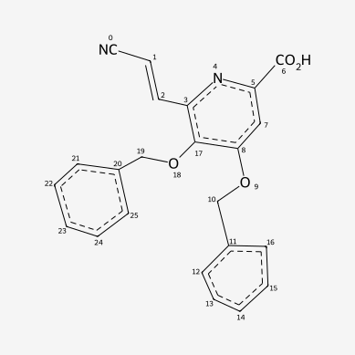 N#C/C=C/c1nc(C(=O)O)cc(OCc2ccccc2)c1OCc1ccccc1